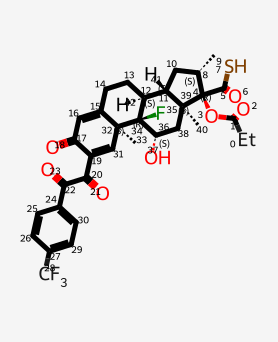 CCC(=O)O[C@]1(C(=O)S)[C@@H](C)C[C@H]2[C@@H]3CCC4=CC(=O)C(C(=O)C(=O)c5ccc(C(F)(F)F)cc5)=C[C@]4(C)[C@@]3(F)[C@@H](O)C[C@@]21C